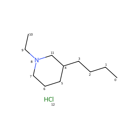 CCCCC1CCCN(CC)C1.Cl